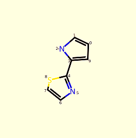 C1=C[N]C(c2nccs2)=C1